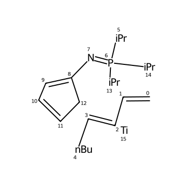 C=CC=CCCCC.CC(C)P(=NC1=CC=CC1)(C(C)C)C(C)C.[Ti]